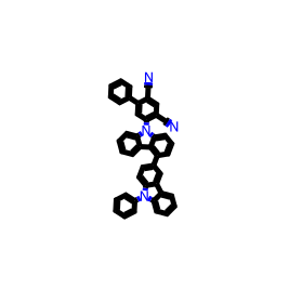 N#Cc1cc(C#N)c(-n2c3ccccc3c3c(-c4ccc5c(c4)c4ccccc4n5-c4ccccc4)cccc32)cc1-c1ccccc1